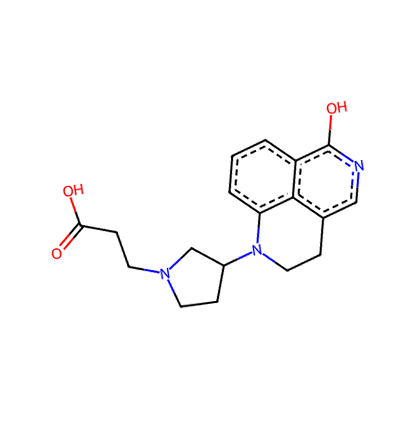 O=C(O)CCN1CCC(N2CCc3cnc(O)c4cccc2c34)C1